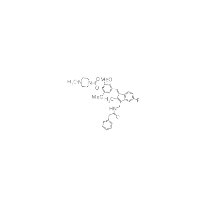 COc1cc(C=C2C(C)=C(CNC(=O)Cc3ccccc3)c3cc(F)ccc32)cc(OC)c1OC(=O)N1CCN(C)CC1